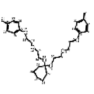 Cc1ccc(OCCOCCOC2(OCCOCCOc3ccc(C)cc3)CCCCC2)cc1